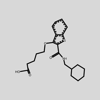 O=C(O)CCCCOc1c(C(=O)NCC2CCCCC2)sc2ccccc12